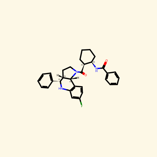 O=C(N[C@@H]1CCCC[C@@H]1C(=O)N1CC[C@H]2[C@@H](c3ccccc3)Nc3cc(F)ccc3[C@H]21)c1ccccc1